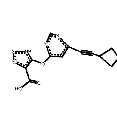 O=C(O)c1nn[nH]c1Oc1cc(C#CC2CCC2)ncn1